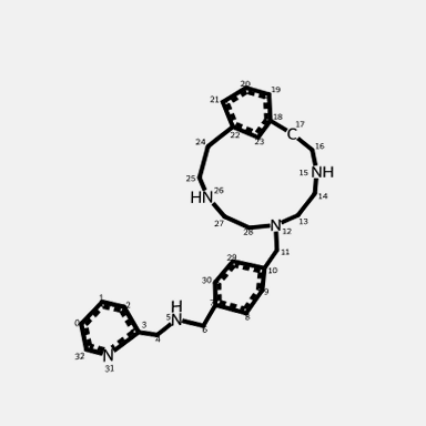 c1ccc(CNCc2ccc(CN3CCNCCc4cccc(c4)CCNCC3)cc2)nc1